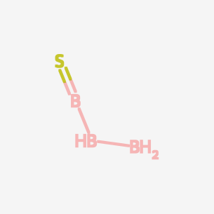 BBB=S